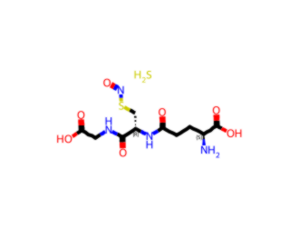 N[C@@H](CCC(=O)N[C@@H](CSN=O)C(=O)NCC(=O)O)C(=O)O.S